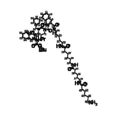 CC(C)CCN(C(=O)N[C@@H](Cc1ccccc1)C(=O)NCCCCCNC(=O)CCCCCNC(=O)CCCCCNC(=O)CCCCCN)C(=O)[C@H](Cc1ccccc1)C[C@@H](O)[C@H](Cc1ccccc1)NC(=O)OC(C)(C)C